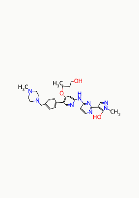 CC(CCO)Oc1cc(Nc2ccnc(-c3cnn(C)c3O)n2)ncc1-c1ccc(CN2CCN(C)CC2)cc1